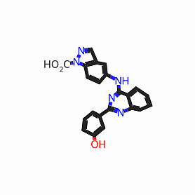 O=C(O)n1ncc2cc(Nc3nc(-c4cccc(O)c4)nc4ccccc34)ccc21